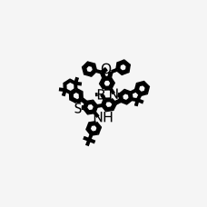 CB1c2cc3c(-c4ccccc4)oc(-c4ccccc4)c3cc2-n2c3cc4c(cc3c3ccc(-c5cc6c(cc5Nc5ccc(C(C)(C)C)cc5)sc5cc7c(cc56)C(C)(C)CCC7(C)C)c1c32)C(C)(C)c1ccccc1-4